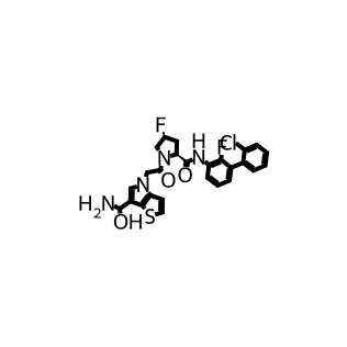 NC(O)c1cn(CC(=O)N2C[C@H](F)C[C@H]2C(=O)Nc2cccc(-c3ccccc3Cl)c2F)c2ccsc12